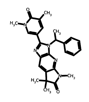 Cc1cc(-c2nc3cc4c(nc3n2C(C)c2ccccc2)N(C)C(=O)C4(C)C)cn(C)c1=O